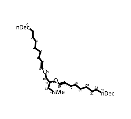 CCCCCCCCCCCCCCCCC=COCC(CNC)OC=CCCCCCCCCCCCCCCCC